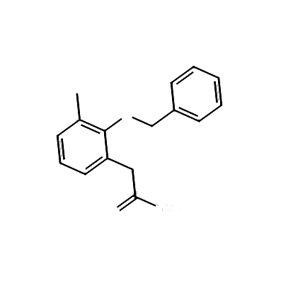 CNC(=O)Cc1cccc(C)c1OCc1ccccc1